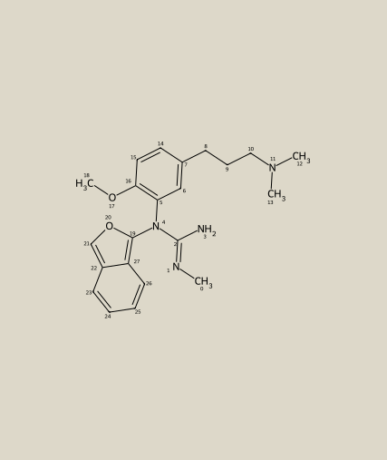 CN=C(N)N(c1cc(CCCN(C)C)ccc1OC)c1occ2ccccc12